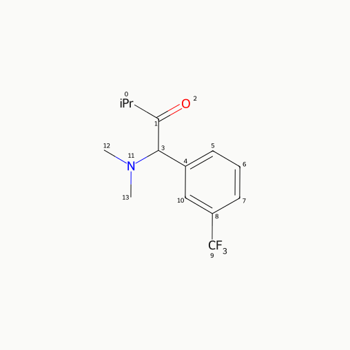 CC(C)C(=O)C(c1cccc(C(F)(F)F)c1)N(C)C